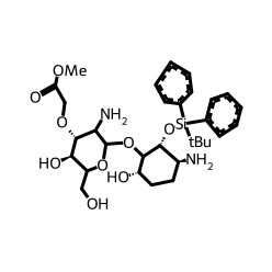 COC(=O)CO[C@@H]1C(N)C(OC2[C@@H](O)CC[C@H](N)[C@H]2O[Si](c2ccccc2)(c2ccccc2)C(C)(C)C)OC(CO)[C@H]1O